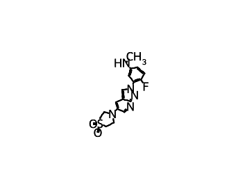 CNc1ccc(F)c(-n2cc3cc(N4CCS(=O)(=O)CC4)cnc3n2)c1